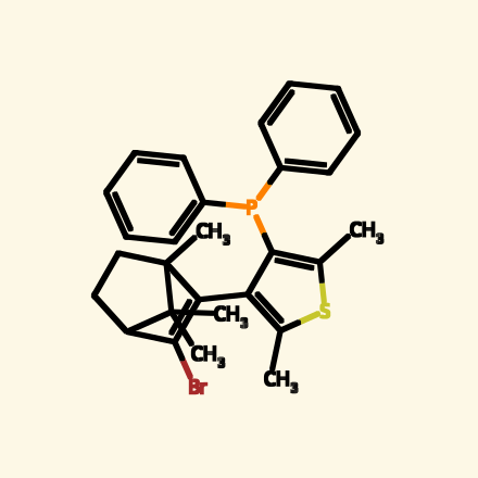 Cc1sc(C)c(P(c2ccccc2)c2ccccc2)c1C1=C(Br)C2CCC1(C)C2(C)C